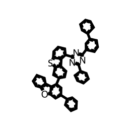 c1ccc(-c2cccc(-c3nc(-c4ccccc4)nc(-c4cccc5sc6cc(-c7cc(-c8ccccc8)cc8oc9ccccc9c78)ccc6c45)n3)c2)cc1